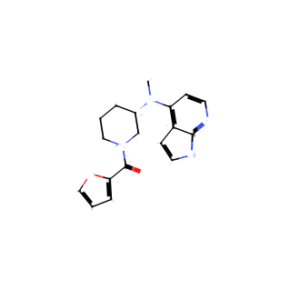 CN(c1ccnc2[nH]ccc12)[C@@H]1CCCN(C(=O)c2ccco2)C1